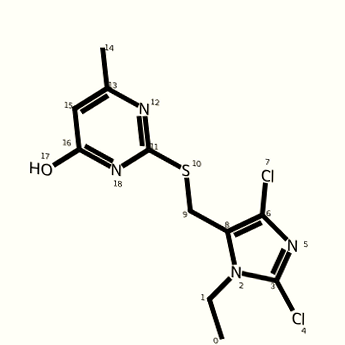 CCn1c(Cl)nc(Cl)c1CSc1nc(C)cc(O)n1